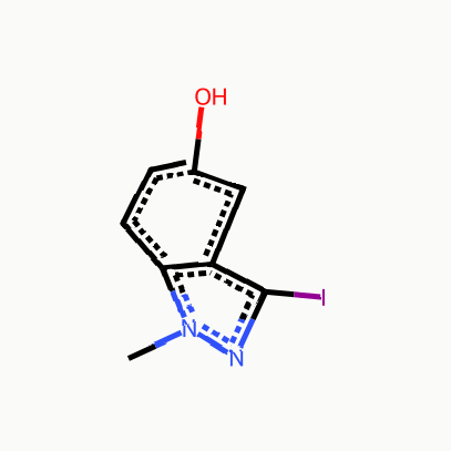 Cn1nc(I)c2cc(O)ccc21